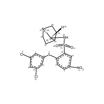 O=[N+]([O-])c1ccc(Sc2cc(Cl)cc(Cl)c2)c(S(=O)(=O)N[C@H]2CN3CCC2CC3)c1